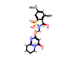 COc1cc(C(C)C)c2c(c1)S(=O)(=O)N(COc1cc(=O)n3c(n1)CCCC3)C2=O